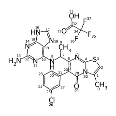 Cc1csc2nc(C(C)Nc3nc(N)nc4[nH]cnc34)c(-c3cccc(Cl)c3)c(=O)n12.O=C(O)C(F)(F)F